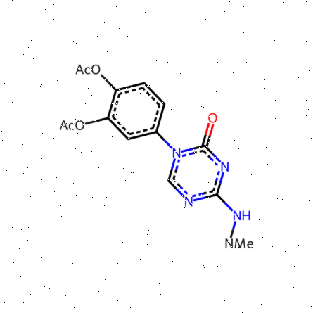 CNNc1ncn(-c2ccc(OC(C)=O)c(OC(C)=O)c2)c(=O)n1